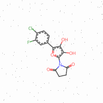 O=C1CCC(=O)N1c1oc(-c2ccc(Cl)c(F)c2)c(O)c1O